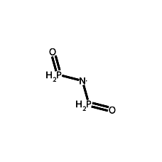 O=[PH2][N][PH2]=O